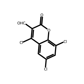 O=Cc1c(Cl)c2cc(Cl)cc(Cl)c2oc1=O